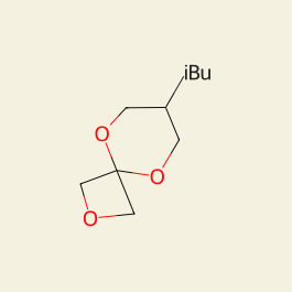 CCC(C)C1COC2(COC2)OC1